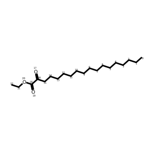 CCCCCCCCCCCCCCCCC(=O)C(=O)OCC